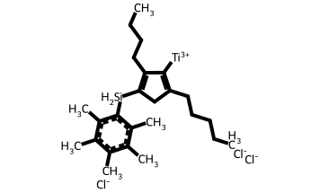 CCCCCC1=[C]([Ti+3])C(CCCC)=C([SiH2]c2c(C)c(C)c(C)c(C)c2C)C1.[Cl-].[Cl-].[Cl-]